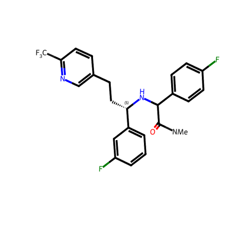 CNC(=O)C(N[C@@H](CCc1ccc(C(F)(F)F)nc1)c1cccc(F)c1)c1ccc(F)cc1